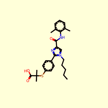 CCCCCn1cc(C(=O)Nc2c(C)cccc2C)nc1-c1ccc(SC(C)(C)C(=O)O)cc1